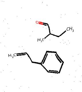 C=CCc1ccccc1.CCC(C)C=O